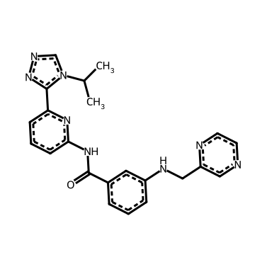 CC(C)n1cnnc1-c1cccc(NC(=O)c2cccc(NCc3cnccn3)c2)n1